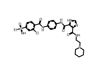 CCS(=N)(=O)c1ccc(C(=O)Nc2ccc(NC(=O)c3[nH]cnc3C(=O)NCCN3CCCCC3)cc2)c(Cl)c1